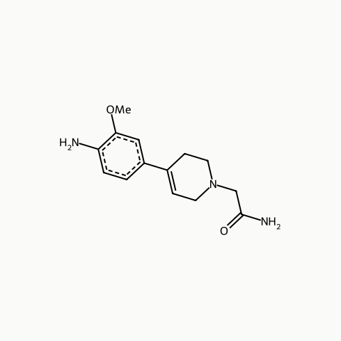 COc1cc(C2=CCN(CC(N)=O)CC2)ccc1N